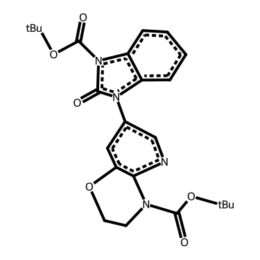 CC(C)(C)OC(=O)N1CCOc2cc(-n3c(=O)n(C(=O)OC(C)(C)C)c4ccccc43)cnc21